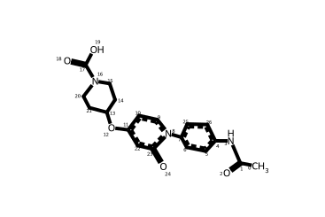 CC(=O)Nc1ccc(-n2ccc(OC3CCN(C(=O)O)CC3)cc2=O)cc1